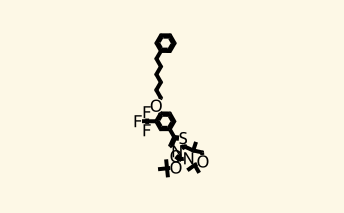 CC(C)(C)OC(=O)N1C(C)(C)OCC1(C)c1ncc(-c2ccc(OCCCCCCc3ccccc3)c(C(F)(F)F)c2)s1